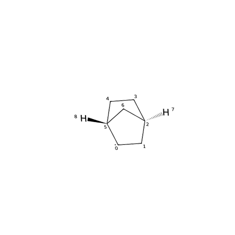 [CH]1C[C@@H]2CC[C@@H]1C2